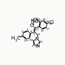 Cc1ccc(/C(Cn2ccnc2)=C(\O[N+](=O)[O-])c2ccc(Cl)cc2Cl)cc1